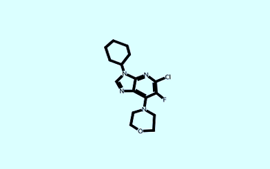 Fc1c(Cl)nc2c(ncn2C2CCCCC2)c1N1CCOCC1